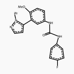 COc1ccc(NC(=O)Nc2ccc(F)cc2)cc1-c1ccnn1C(C)C